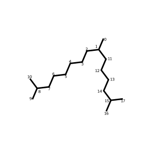 [CH2]C(CCCCCCC(C)C)CCCCC(C)C